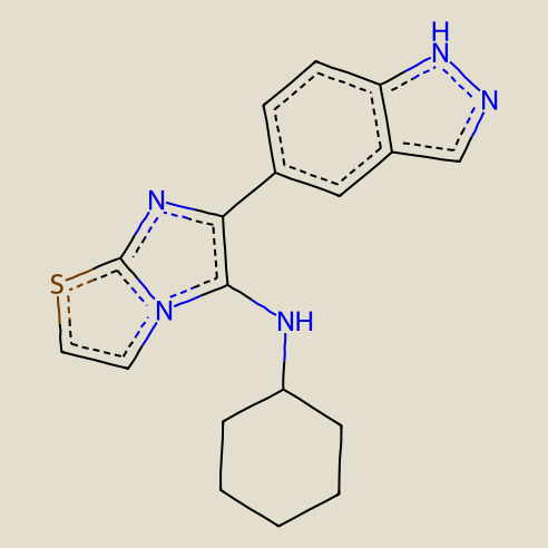 c1cn2c(NC3CCCCC3)c(-c3ccc4[nH]ncc4c3)nc2s1